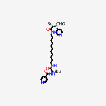 CCC(C)[C@H](NC(=O)c1ccncc1)C(=O)NCCCCCCCCCCCNC(=O)[C@H](C(C)CC)[As](C=O)c1ccncc1